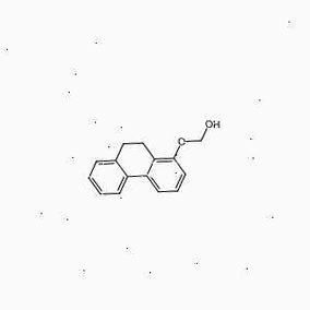 OCOc1cccc2c1CCc1ccccc1-2